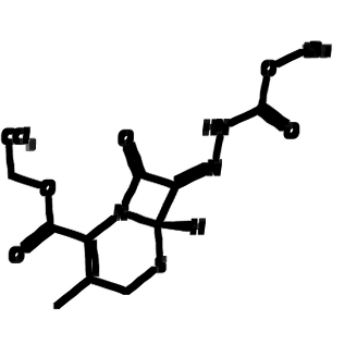 CC1=C(C(=O)OCC(Cl)(Cl)Cl)N2C(=O)/C(=N\NC(=O)OC(C)(C)C)[C@@H]2SC1